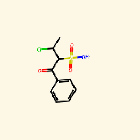 CC(Cl)C(C(=O)c1ccccc1)S([NH])(=O)=O